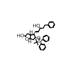 CC(C)(C)[Si](O[C@@H]1C[C@@H]2OC(O)C[C@@H]2[C@H]1/C=C/[C@@H](O)CCc1ccccc1)(c1ccccc1)c1ccccc1